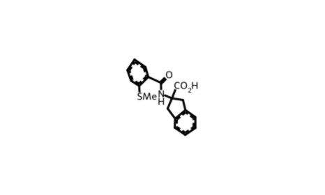 CSc1ccccc1C(=O)NC1(C(=O)O)Cc2ccccc2C1